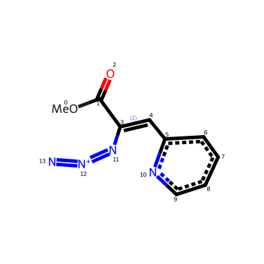 COC(=O)/C(=C/c1ccccn1)N=[N+]=[N-]